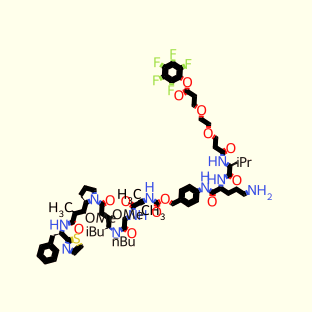 CCCCN(C(=O)CNC(=O)C(C)(C)NC(=O)OCc1ccc(NC(=O)C(CCCN)NC(=O)[C@@H](NC(=O)CCOCCOCCC(=O)Oc2c(F)c(F)c(F)c(F)c2F)C(C)C)cc1)[C@@H]([C@@H](C)CC)[C@@H](CC(=O)N1CCC[C@H]1[C@H](OC)[C@@H](C)C(=O)N[C@@H](Cc1ccccc1)c1nccs1)OC